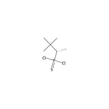 C[C@@H](C(C)(C)C)P(=S)(Cl)Cl